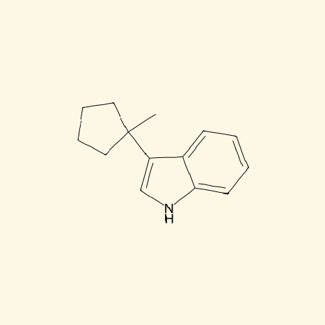 CC1(c2c[nH]c3ccccc23)CCCC1